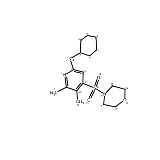 Cc1nc(NC2CCCCC2)cc(S(=O)(=O)N2CCOCC2)c1C